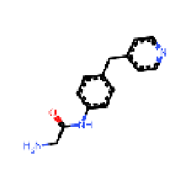 NCC(=O)Nc1ccc(Cc2ccncc2)cc1